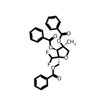 C[C@]1(OC(=O)c2ccccc2)CO[C@@](COC(=O)c2ccccc2)(C(F)F)[C@H]1OC(=O)c1ccccc1